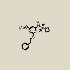 COc1cc(NS(=O)(=O)N2CCC2)nc(SCCc2ccccc2)n1